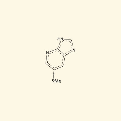 CSc1cnc2[nH]cnc2c1